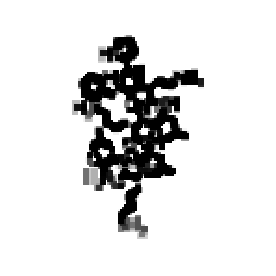 CC(C)C[C@H](NC(=O)[C@H](CCCCN)NC(=O)[C@H](CC(C)C)NC(=O)[C@H](CCCCN)NC(=O)[C@H](CC(C)C)NC(=O)[C@H](CCN)NC(=O)[C@H](Cc1ccccc1)NC(=O)[C@@H]1CCCN1)C(N)=O